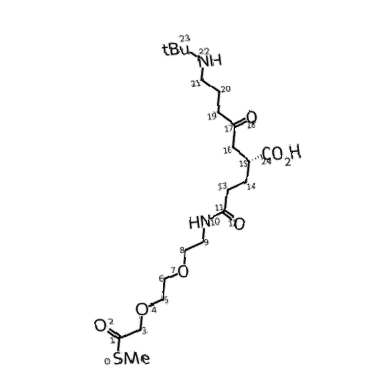 CSC(=O)COCCOCCNC(=O)CC[C@H](CC(=O)CCCNC(C)(C)C)C(=O)O